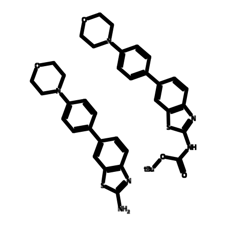 CC(C)(C)OC(=O)Nc1nc2ccc(-c3ccc(N4CCOCC4)cc3)cc2s1.Nc1nc2ccc(-c3ccc(N4CCOCC4)cc3)cc2s1